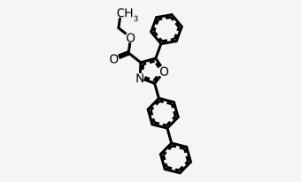 CCOC(=O)c1nc(-c2ccc(-c3ccccc3)cc2)oc1-c1ccccc1